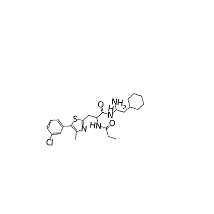 CCC(=O)NC(Cc1nc(C)c(-c2cccc(Cl)c2)s1)C(=O)NC(N)CC1CCCCC1